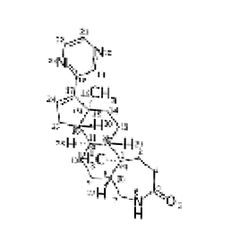 C[C@]12CCC(=O)NC[C@@H]1CC[C@@H]1[C@@H]2CC[C@]2(C)C(c3cnccn3)=CC[C@@H]12